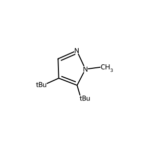 Cn1ncc(C(C)(C)C)c1C(C)(C)C